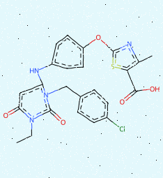 CCn1c(=O)cc(Nc2ccc(Oc3nc(C)c(C(=O)O)s3)cc2)n(Cc2ccc(Cl)cc2)c1=O